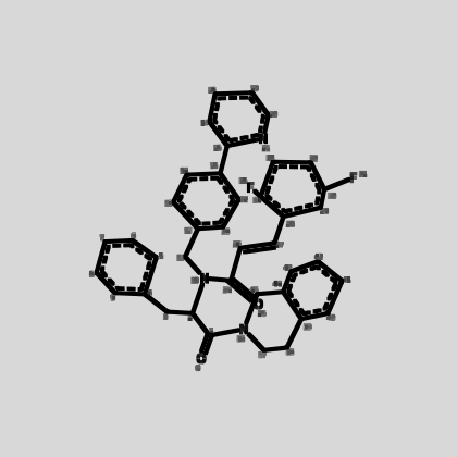 O=C(C(Cc1ccccc1)N(Cc1ccc(-c2ccccn2)cc1)C(=O)C=Cc1cc(F)ccc1F)N1CCc2ccccc2C1